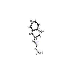 SC/C=C/c1cnc2ccccc2c1